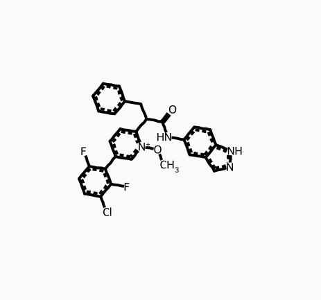 CO[n+]1cc(-c2c(F)ccc(Cl)c2F)ccc1C(Cc1ccccc1)C(=O)Nc1ccc2[nH]ncc2c1